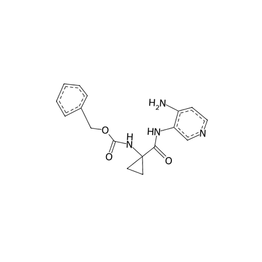 Nc1ccncc1NC(=O)C1(NC(=O)OCc2ccccc2)CC1